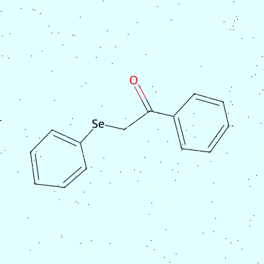 O=C(C[Se]c1ccccc1)c1cc[c]cc1